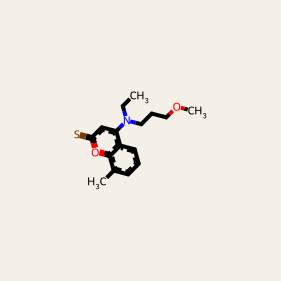 CCN(CCCOC)c1cc(=S)oc2c(C)cccc12